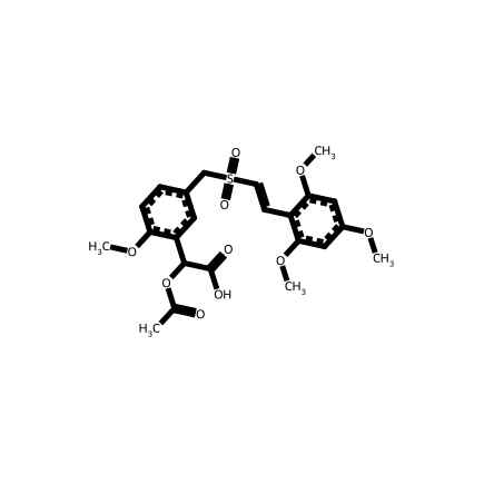 COc1cc(OC)c(C=CS(=O)(=O)Cc2ccc(OC)c(C(OC(C)=O)C(=O)O)c2)c(OC)c1